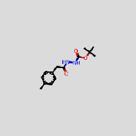 Cc1ccc(CC(=O)NNC(=O)OC(C)(C)C)cc1